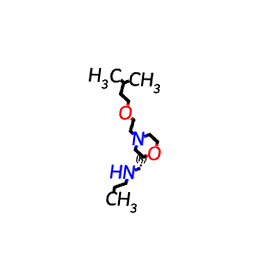 CCCNC[C@@H]1CN(CCOCCC(C)C)CCO1